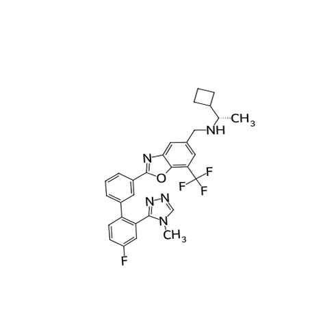 C[C@H](NCc1cc(C(F)(F)F)c2oc(-c3cccc(-c4ccc(F)cc4-c4nncn4C)c3)nc2c1)C1CCC1